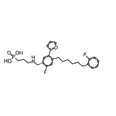 O=P(O)(O)CCCNCc1cc(-c2ccco2)c(CCCCCCc2ccccc2F)cc1F